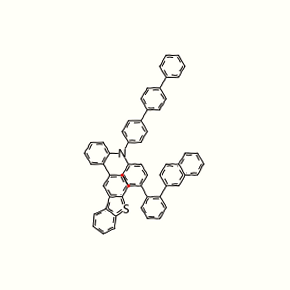 c1ccc(-c2ccc(-c3ccc(N(c4ccc(-c5ccccc5-c5ccc6ccccc6c5)cc4)c4ccccc4-c4ccc5sc6ccccc6c5c4)cc3)cc2)cc1